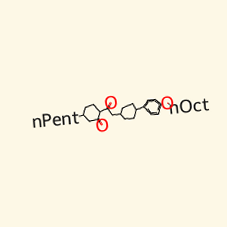 CCCCCCCCOc1ccc(C2CCC(CC(=O)C3CCC(CCCCC)CC3=O)CC2)cc1